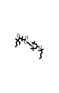 CCCCC(C)(C)OC1CC(C)(C)N(CCOC(=O)C(C)(C)C(=O)C(C)(CC)CCC)C(C)(C)C1